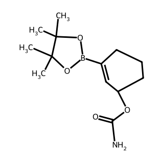 CC1(C)OB(C2=CC(OC(N)=O)CCC2)OC1(C)C